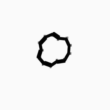 [C]1=C/C=C\C=C\C=C/C=C/CCC/1